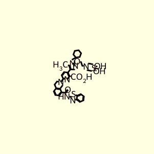 Cc1c(-c2ccc(N3CCc4cccc(C(=O)Nc5nc6ccccc6s5)c4C3)nc2C(=O)O)cnn1CC1(OCCN2CCS(O)(O)CC2)CCCCC1